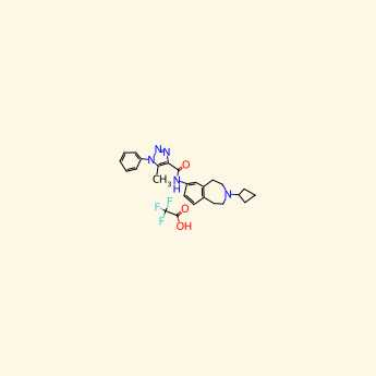 Cc1c(C(=O)Nc2ccc3c(c2)CCN(C2CCC2)CC3)nnn1-c1ccccc1.O=C(O)C(F)(F)F